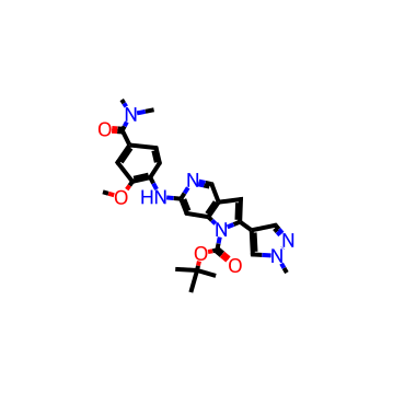 COc1cc(C(=O)N(C)C)ccc1Nc1cc2c(cn1)cc(-c1cnn(C)c1)n2C(=O)OC(C)(C)C